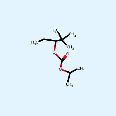 CCC(OC(=O)OC(C)C)C(C)(C)C